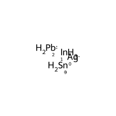 [Ag].[InH3].[PbH2].[SnH2]